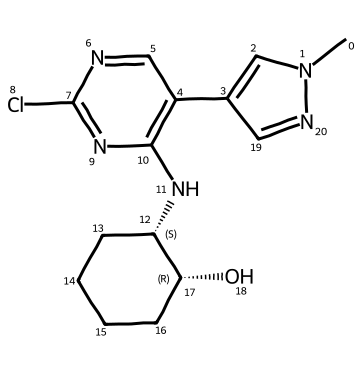 Cn1cc(-c2cnc(Cl)nc2N[C@H]2CCCC[C@H]2O)cn1